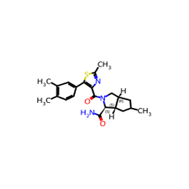 Cc1nc(C(=O)N2C[C@@H]3CC(C)C[C@@H]3[C@H]2C(N)=O)c(-c2ccc(C)c(C)c2)s1